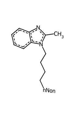 CCCCCCCCCCCCCn1c(C)nc2ccccc21